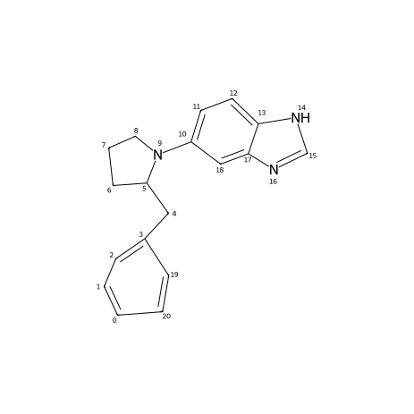 c1ccc(CC2CCCN2c2ccc3[nH]cnc3c2)cc1